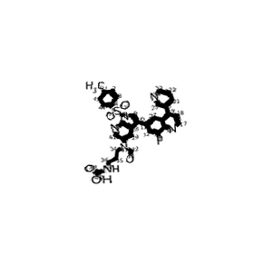 Cc1ccc(S(=O)(=O)n2cc(-c3cc(F)c4nccc(-c5cccnc5)c4c3)c3cc(N(C=O)CCCNC(=O)O)cnc32)cc1